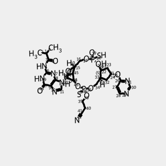 CC(C)C(=O)Nc1nc2c(ncn2[C@@H]2O[C@@H]3COP(=O)(S)O[C@H]4C[C@H](Oc5ccncn5)C[C@@H]4COP(=S)(OCCC#N)O[C@@H]2[C@@H]3C)c(=O)[nH]1